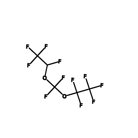 FC(OC(F)(F)OC(F)(F)C(F)(F)F)C(F)(F)F